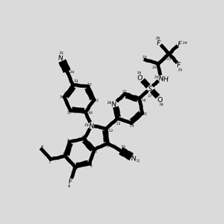 CCc1cc2c(cc1F)c(C#N)c(-c1ccc(S(=O)(=O)NC(C)C(F)(F)F)cn1)n2-c1ccc(C#N)cc1